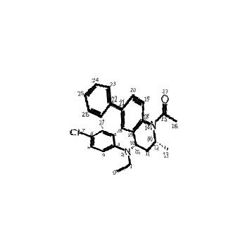 CCN(c1ccc(Cl)cc1)[C@H]1C[C@@H](C)N(C(C)=O)c2ccc(-c3ccccc3)cc21